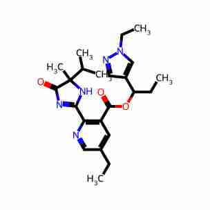 CCc1cnc(C2=NC(=O)C(C)(C(C)C)N2)c(C(=O)OC(CC)c2cnn(CC)c2)c1